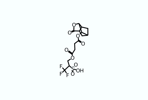 O=C(CCC(=O)OC1C2CC3C(=O)OC1C3C2)OCC(C(F)(F)F)S(=O)(=O)O